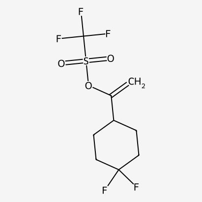 C=C(OS(=O)(=O)C(F)(F)F)C1CCC(F)(F)CC1